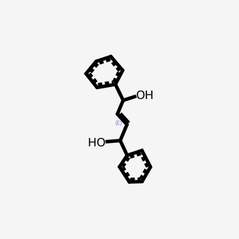 OC(/C=C/C(O)c1ccccc1)c1ccccc1